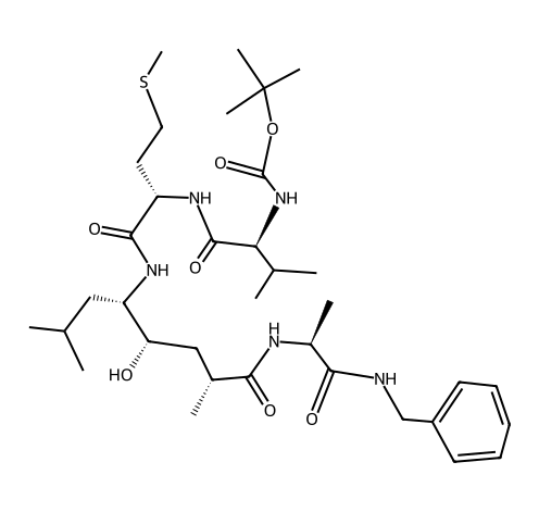 CSCC[C@H](NC(=O)[C@@H](NC(=O)OC(C)(C)C)C(C)C)C(=O)N[C@@H](CC(C)C)[C@@H](O)C[C@@H](C)C(=O)N[C@@H](C)C(=O)NCc1ccccc1